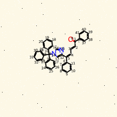 O=C(C=CC=C(c1ccccc1)c1cn(C(c2ccccc2)(c2ccccc2)c2ccccc2)cn1)c1ccccc1